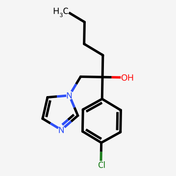 CCCCC(O)(Cn1ccnc1)c1ccc(Cl)cc1